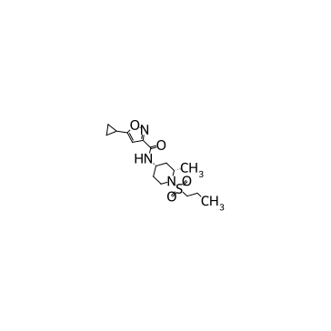 CCCS(=O)(=O)N1CC[C@H](NC(=O)c2cc(C3CC3)on2)C[C@@H]1C